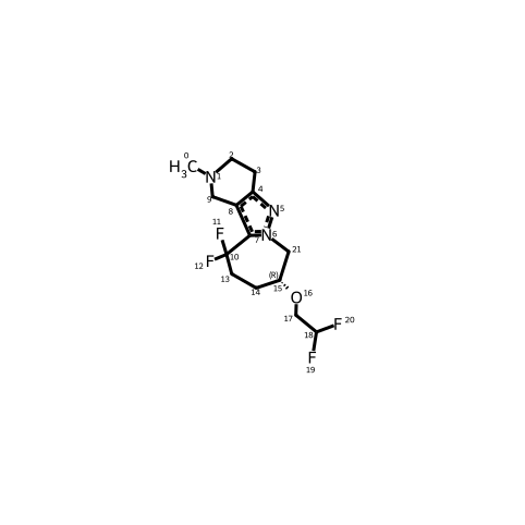 CN1CCc2nn3c(c2C1)C(F)(F)CC[C@@H](OCC(F)F)C3